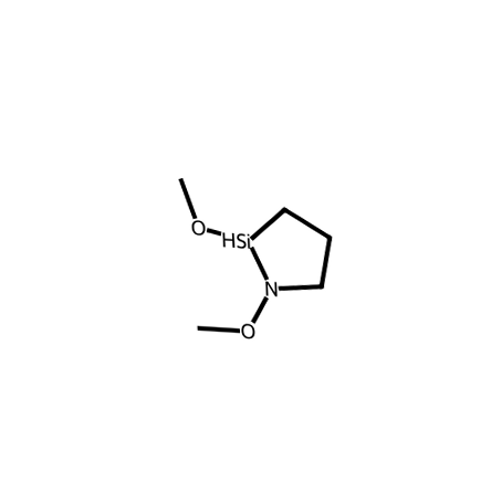 CON1CCC[SiH]1OC